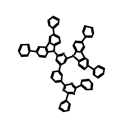 c1ccc(-c2ccc3c(c2)c2cc(-c4ccccc4)ccc2n3-c2cc(-c3cccc(-c4nc(-c5ccccc5)nc(-c5ccccc5)n4)c3)cc(-n3c4ccc(-c5ccccc5)cc4c4cc(-c5ccccc5)ccc43)n2)cc1